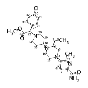 CC[C@H]1CN(c2ncc(C(N)=O)nc2C)CCN1C1CCN([C@@H](C(=O)OC)c2ccc(Cl)cc2)CC1